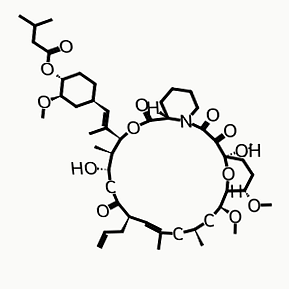 C=CC[C@@H]1/C=C(\C)C[C@H](C)C[C@H](OC)[C@H]2O[C@@](O)(C(=O)C(=O)N3CCCC[C@H]3C(=O)O[C@H](/C(C)=C/[C@@H]3CC[C@@H](OC(=O)CC(C)C)[C@H](OC)C3)[C@H](C)[C@@H](O)CC1=O)[C@H](C)C[C@@H]2OC